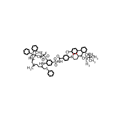 CN(CCO[Si](c1ccccc1)(c1ccccc1)C(C)(C)C)CC[C@H](CSc1ccccc1)Nc1ccc(S(=O)(=O)NC(=O)c2ccc(N3CCC([C@@H](O[Si](C)(C)C(C)(C)C)c4ccccc4-c4ccc(Cl)cc4)CC3)cc2)cc1S(=O)(=O)C(F)(F)F